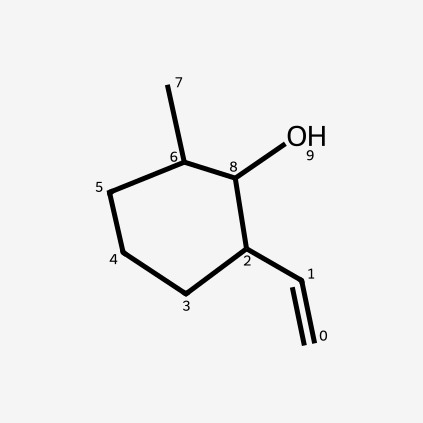 C=CC1CCCC(C)C1O